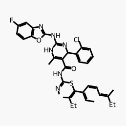 C/C=C(\C=C/C=C(\C)CC)C(/S/C(=N\C)NC(=O)C1=C(C)NC(Nc2nc3cc(F)ccc3o2)=NC1c1ccccc1Cl)=C(/C)CC